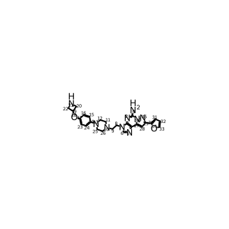 Nc1nc2c(ncn2CCN2CCN(c3ccc(OC4CNC4)cc3)CC2)c2cc(-c3ccco3)nn12